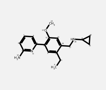 CCc1cc(-c2cccc(N)n2)c(OC)cc1CNC1CC1